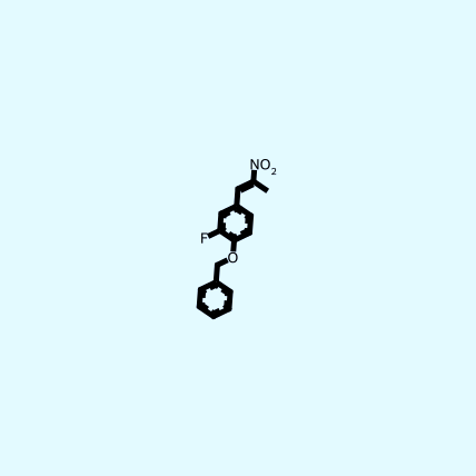 CC(=Cc1ccc(OCc2ccccc2)c(F)c1)[N+](=O)[O-]